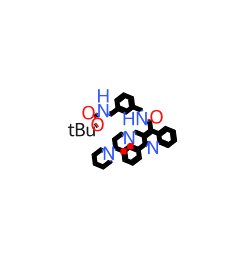 CC(C)(C)OC(=O)NCc1cccc(CNC(=O)c2c(CN3CCC(N4CCCCC4)CC3)c(-c3ccccc3)nc3ccccc23)c1